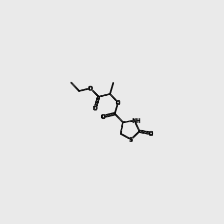 CCOC(=O)C(C)OC(=O)C1CSC(=O)N1